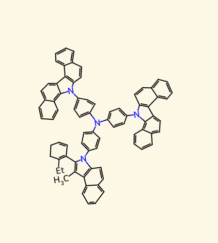 CCC1=C(c2c(C)c3c4ccccc4ccc3n2-c2ccc(N(c3ccc(-n4c5ccc6ccccc6c5c5ccc6ccccc6c54)cc3)c3ccc(-n4c5ccc6ccccc6c5c5ccc6ccccc6c54)cc3)cc2)C=CCC1